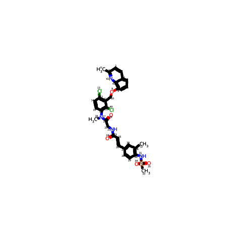 Cc1ccc2cccc(OCc3c(Cl)ccc(N(C)C(=O)CNC(=O)/C=C/c4ccc(NS(C)(=O)=O)c(C)c4)c3Cl)c2n1